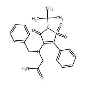 CC(C)(C)N1C(=O)C(N(CC(N)=O)Cc2ccccc2)=C(c2ccccc2)S1(=O)=O